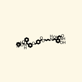 O=C(NC(c1ccccc1)c1cccc(OCC2CCC(C(=O)OCCCCNC[C@@H](O)c3ccc(O)c4[nH]c(=O)ccc34)CC2)c1)O[C@H]1CN2CCC1CC2